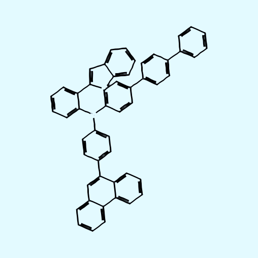 c1ccc(-c2ccc(-c3ccc(N(c4ccc(-c5cc6ccccc6c6ccccc56)cc4)c4ccccc4-c4cc5ccccc5o4)cc3)cc2)cc1